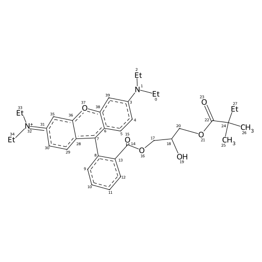 CCN(CC)c1ccc2c(-c3ccccc3C(=O)OCC(O)COC(=O)C(C)(C)CC)c3ccc(=[N+](CC)CC)cc-3oc2c1